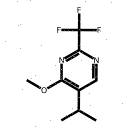 COc1nc(C(F)(F)F)ncc1C(C)C